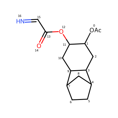 CC(=O)OC1CC2C3CCC(C3)C2CC1OC(=O)C=N